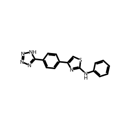 c1ccc(Nc2nc(-c3ccc(-c4nnn[nH]4)cc3)cs2)cc1